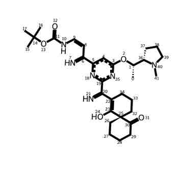 C[C@H](Oc1cc(C(=N)/C=C\NC(=O)OC(C)(C)C)nc(C(=N)C2=C(O)[C@]3(CCCCC3=O)CCC2)n1)[C@@H]1CCCN1C